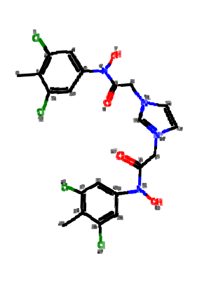 Cc1c(Cl)cc(N(O)C(=O)Cn2cc[n+](CC(=O)N(O)c3cc(Cl)c(C)c(Cl)c3)c2)cc1Cl